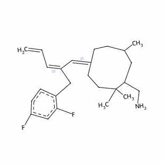 C=C/C=C(\C=C1\CCC(C)CC(CN)C(C)(C)CC1)Cc1ccc(F)cc1F